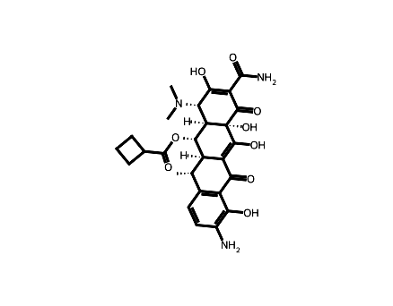 C[C@H]1c2ccc(N)c(O)c2C(=O)C2=C(O)[C@]3(O)C(=O)C(C(N)=O)=C(O)[C@@H](N(C)C)[C@@H]3[C@@H](OC(=O)C3CCC3)[C@@H]21